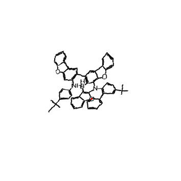 CC(C)(C)c1ccc(Nc2cc3oc4ccccc4c3cc2-c2cc3c(oc4ccccc43)c3c2Bc2c(oc4ccccc24)N3c2ccc(C(C)(C)C)cc2-c2ccccc2)cc1